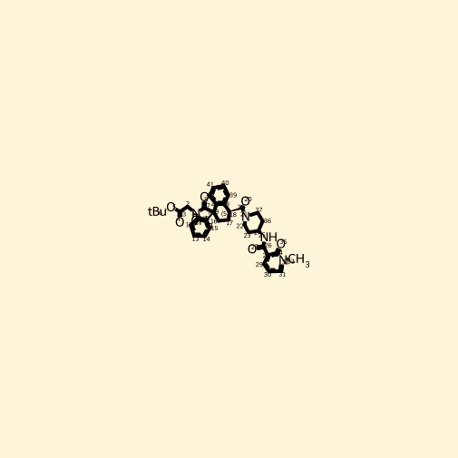 CN(CC(=O)OC(C)(C)C)C(=O)[C@@]1(c2ccccc2)CC[C@H](C(=O)N2CCC(NC(=O)c3cccn(C)c3=O)CC2)c2ccccc21